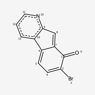 O=C1C(Br)=CC=C2C1=Cc1ncccc12